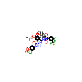 COc1cc(CN2C(=O)N(c3ccc(F)c(C(F)(F)F)c3)C(=O)C2(C)C)c(NC(=O)Nc2ccc(S(=O)(=O)Cl)cc2)cc1OC